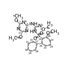 CON=C(Nc1nc(OC)nc(OC)n1)NS(=O)(=O)c1c(OC)cccc1-c1ccccc1